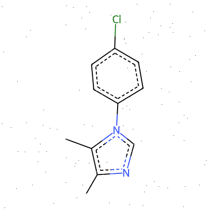 Cc1ncn(-c2ccc(Cl)cc2)c1C